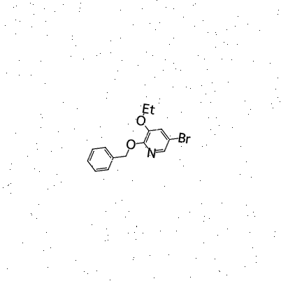 CCOc1cc(Br)cnc1OCc1ccccc1